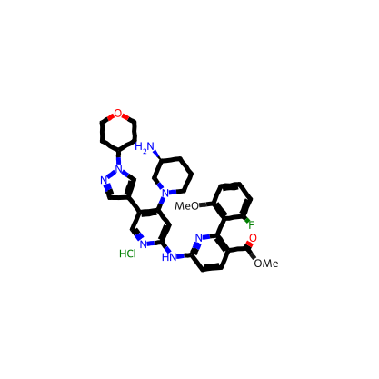 COC(=O)c1ccc(Nc2cc(N3CCC[C@H](N)C3)c(-c3cnn(C4CCOCC4)c3)cn2)nc1-c1c(F)cccc1OC.Cl